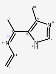 C=C/N=C(/C)c1[nH]cnc1C